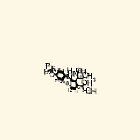 CCC(NC)c1c(C(O)CO)ccnc1Nc1ccc(OC(F)(F)F)cc1